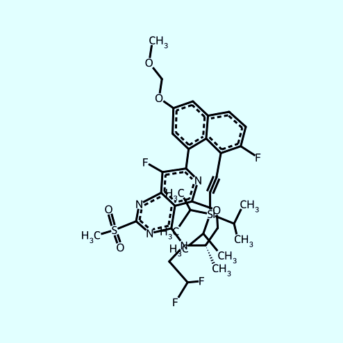 COCOc1cc(-c2nc3c4c(nc(S(C)(=O)=O)nc4c2F)N(CC(F)F)[C@@H](C)CO3)c2c(C#C[Si](C(C)C)(C(C)C)C(C)C)c(F)ccc2c1